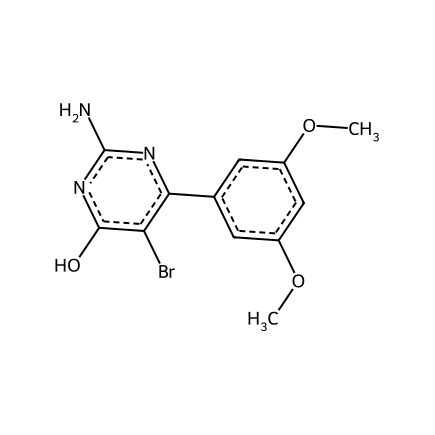 COc1cc(OC)cc(-c2nc(N)nc(O)c2Br)c1